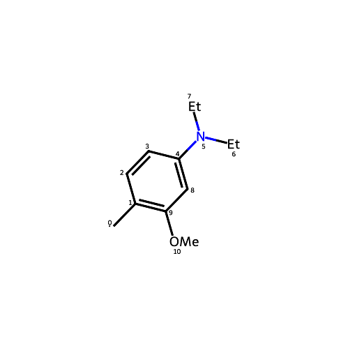 [CH2]c1ccc(N(CC)CC)cc1OC